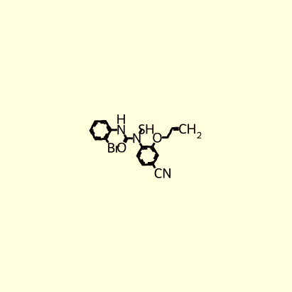 C=CCOc1cc(C#N)ccc1N(S)C(=O)Nc1ccccc1Br